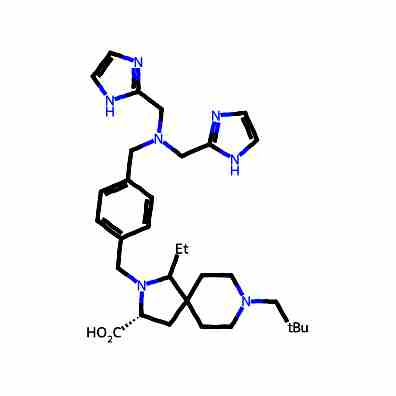 CCC1N(Cc2ccc(CN(Cc3ncc[nH]3)Cc3ncc[nH]3)cc2)[C@@H](C(=O)O)CC12CCN(CC(C)(C)C)CC2